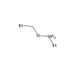 CCCO[SiH2]CC